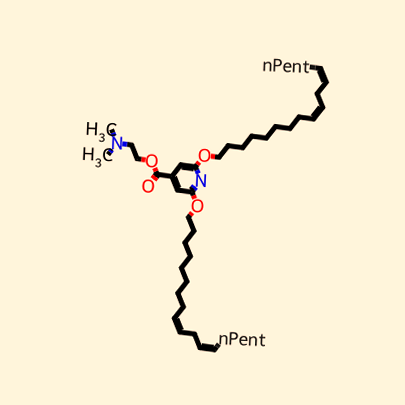 CCCCC/C=C\C/C=C\CCCCCCCCOc1cc(C(=O)OCCN(C)C)cc(OCCCCCCCC/C=C\C/C=C\CCCCC)n1